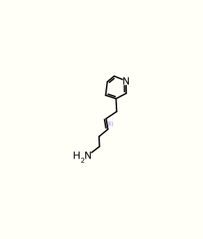 NCC/C=C/Cc1cccnc1